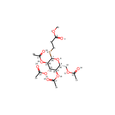 COC(=O)CCS[C@H]1O[C@H](COC(C)=O)[C@@H](OC(C)=O)[C@H](OC(C)=O)[C@H]1OC(C)=O